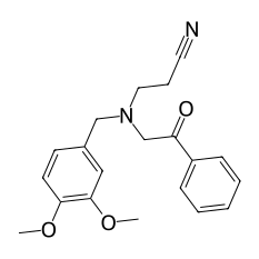 COc1ccc(CN(CCC#N)CC(=O)c2ccccc2)cc1OC